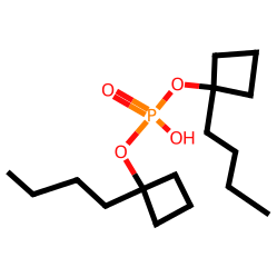 CCCCC1(OP(=O)(O)OC2(CCCC)CCC2)CCC1